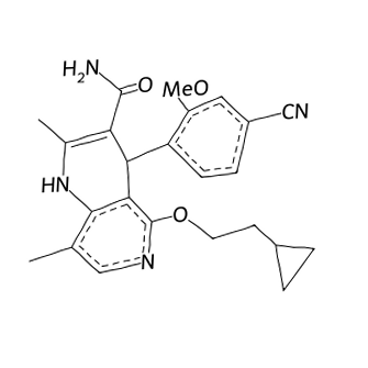 COc1cc(C#N)ccc1C1C(C(N)=O)=C(C)Nc2c(C)cnc(OCCC3CC3)c21